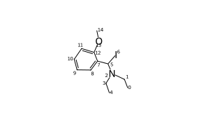 CCN(CC)C(I)c1ccccc1OC